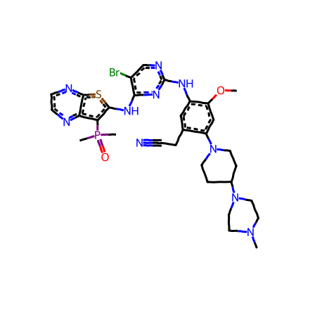 COc1cc(N2CCC(N3CCN(C)CC3)CC2)c(CC#N)cc1Nc1ncc(Br)c(Nc2sc3nccnc3c2P(C)(C)=O)n1